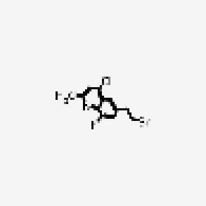 Cc1cc(Cl)c2cc(CCBr)cc(F)c2n1